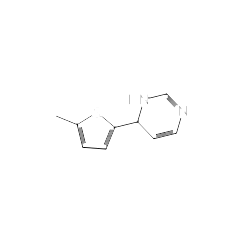 Cc1ccc(C2C=CN=CN2)s1